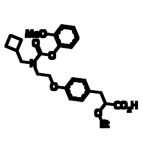 CCOC(Cc1ccc(OCCN(CC2CCC2)C(=O)Oc2ccccc2OC)cc1)C(=O)O